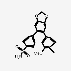 COc1cc(-c2cc3c(cc2-c2ccc(S(N)(=O)=O)cc2)OCO3)ccc1C